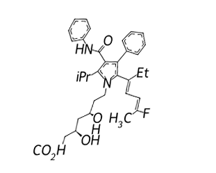 CC/C(=C\C=C(/C)F)c1c(-c2ccccc2)c(C(=O)Nc2ccccc2)c(C(C)C)n1CC[C@@H](O)C[C@@H](O)CC(=O)O